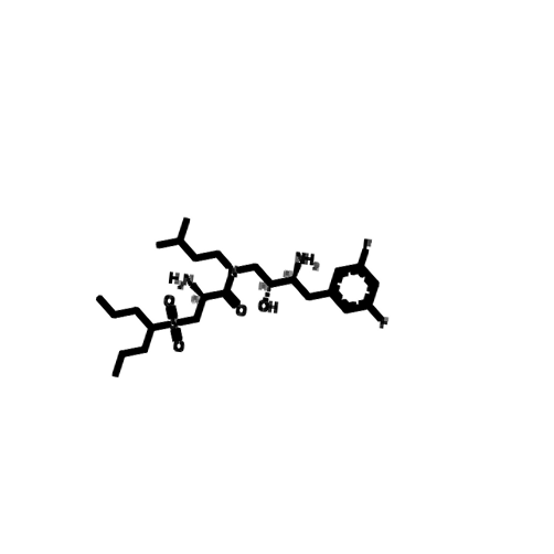 CCCC(CCC)S(=O)(=O)C[C@@H](N)C(=O)N(CCC(C)C)C[C@@H](O)[C@@H](N)Cc1cc(F)cc(F)c1